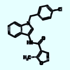 Cc1occc1C(=O)Nc1cn(Cc2ccc(Cl)cc2)c2ccccc12